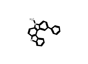 Cn1c2ccc(-c3ccccc3)cc2c2c3c(ccc21)oc1ccccc13